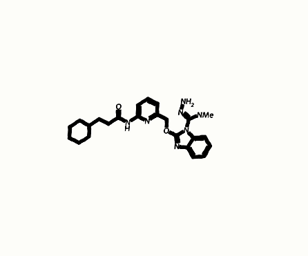 CN/C(=N\N)n1c(OCc2cccc(NC(=O)CCC3CCCCC3)n2)nc2ccccc21